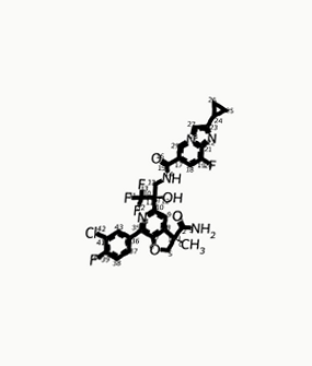 C[C@]1(C(N)=O)COc2c1cc([C@@](O)(CNC(=O)c1cc(F)c3nc(C4CC4)cn3c1)C(F)(F)F)nc2-c1ccc(F)c(Cl)c1